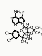 CC1(C)O[C@@H]2[C@H](O1)[C@@H]([C@](C)(O)c1ccc(Cl)c(Cl)c1)O[C@H]2n1cc(F)c2c(N)ncnc21